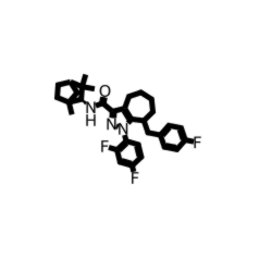 CC12CCC(C1)C(C)(C)[C@H]2NC(=O)c1nn(-c2ccc(F)cc2F)c2c1CCCCC2Cc1ccc(F)cc1